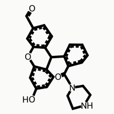 O=Cc1ccc2c(c1)Oc1cc(O)ccc1C2c1ccccc1C(=O)N1CCNCC1